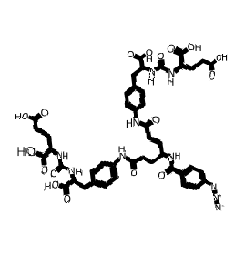 [N-]=[N+]=Nc1ccc(C(=O)NC(CCC(=O)Nc2ccc(CC(NC(=O)NC(CCC(=O)O)C(=O)O)C(=O)O)cc2)CCC(=O)Nc2ccc(CC(NC(=O)NC(CCC(=O)O)C(=O)O)C(=O)O)cc2)cc1